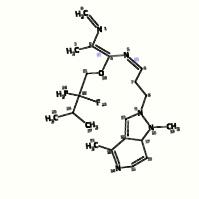 C=N/C(C)=C(\N=C/CCN1C=C2C(C)=NC=CC2N1C)OCC(F)(P)C(C)C